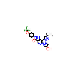 Cc1cc(-c2cc(C(=O)Nc3ccc(OC(F)(F)F)cc3)cnc2N2CCC(O)C2)[nH]n1